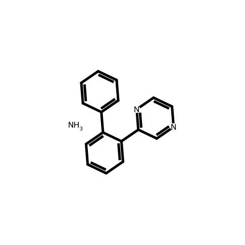 N.c1ccc(-c2ccccc2-c2cnccn2)cc1